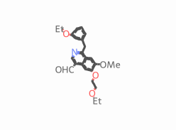 CCOCCOc1cc2c(C=O)cnc(Cc3cccc(OCC)c3)c2cc1OC